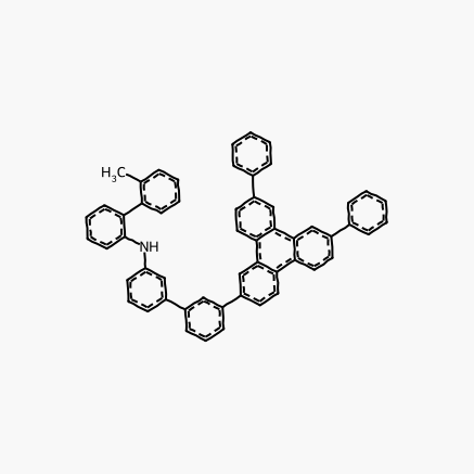 Cc1ccccc1-c1ccccc1Nc1cccc(-c2cccc(-c3ccc4c5ccc(-c6ccccc6)cc5c5cc(-c6ccccc6)ccc5c4c3)c2)c1